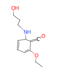 CCOC1=CC=CC(NCCCO)C1=C=O